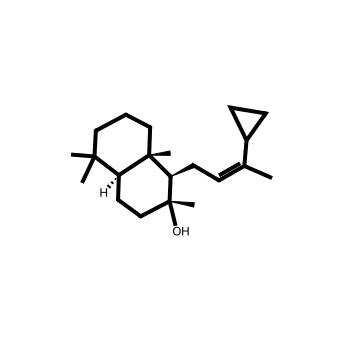 CC(=CC[C@@H]1[C@@]2(C)CCCC(C)(C)[C@@H]2CC[C@@]1(C)O)C1CC1